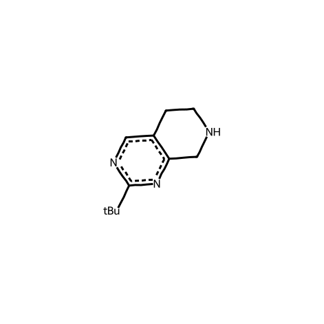 CC(C)(C)c1ncc2c(n1)CNCC2